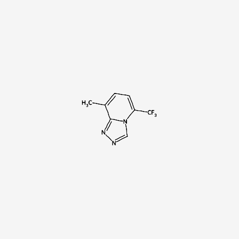 Cc1ccc(C(F)(F)F)n2cnnc12